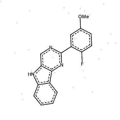 COc1ccc(F)c(-c2ncc3[nH]c4ccccc4c3n2)c1